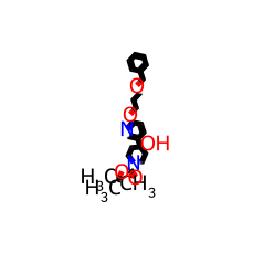 CC(C)(C)OC(=O)N1CCC(O)(c2ccc(OCCCOCc3ccccc3)nc2)CC1